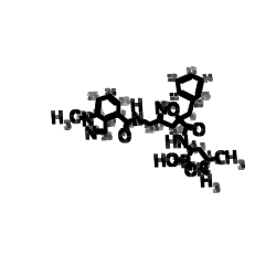 CC(C)C[C@H](NC(=O)C1(Cc2ccccc2)CC(CNC(=O)c2cccc3c2cnn3C)=NO1)B(O)O